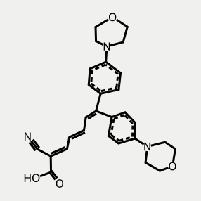 N#C/C(=C\C=C\C=C(c1ccc(N2CCOCC2)cc1)c1ccc(N2CCOCC2)cc1)C(=O)O